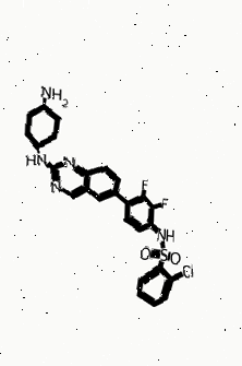 N[C@H]1CC[C@H](Nc2ncc3cc(-c4ccc(NS(=O)(=O)c5ccccc5Cl)c(F)c4F)ccc3n2)CC1